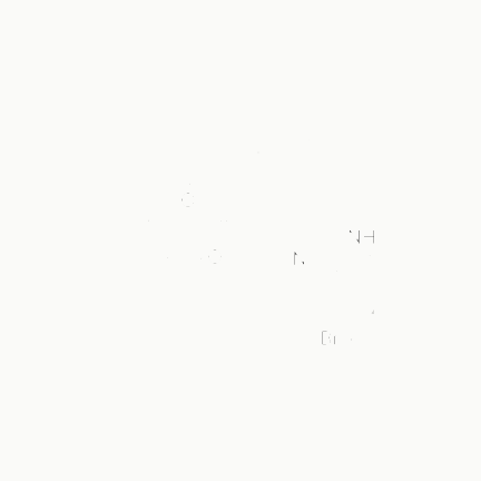 CC(C)(C)OC(=O)c1cccc2[nH]c(CBr)nc12